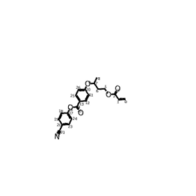 C=CC(=O)OCCC(C)Oc1ccc(C(=O)Oc2ccc(C#N)cc2)cc1